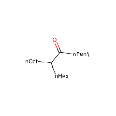 CCCCCCCCC(CCCCCC)C(=O)CCCCC